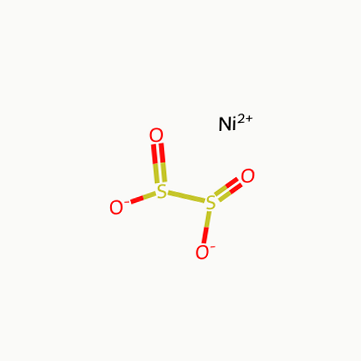 O=S([O-])S(=O)[O-].[Ni+2]